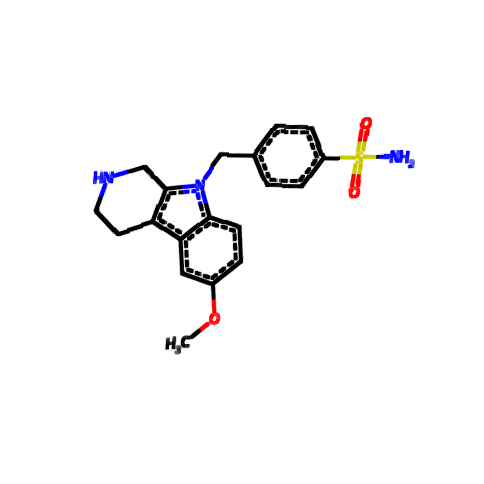 COc1ccc2c(c1)c1c(n2Cc2ccc(S(N)(=O)=O)cc2)CNCC1